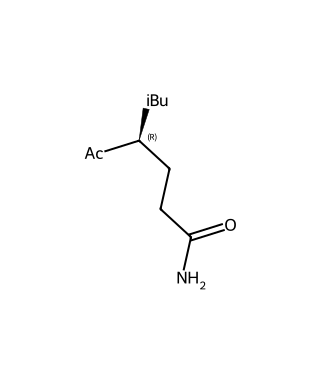 CCC(C)[C@@H](CCC(N)=O)C(C)=O